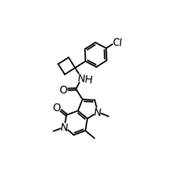 Cc1cn(C)c(=O)c2c(C(=O)NC3(c4ccc(Cl)cc4)CCC3)cn(C)c12